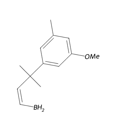 B/C=C\C(C)(C)c1cc(C)cc(OC)c1